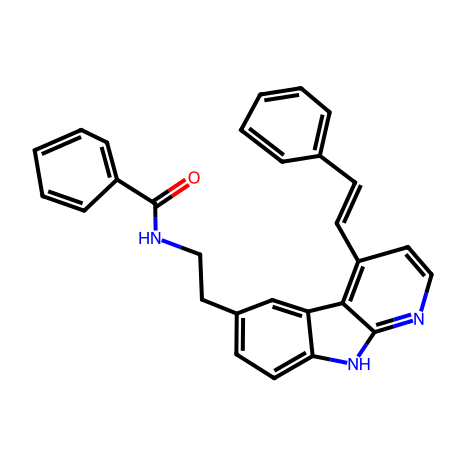 O=C(NCCc1ccc2[nH]c3nccc(/C=C/c4ccccc4)c3c2c1)c1ccccc1